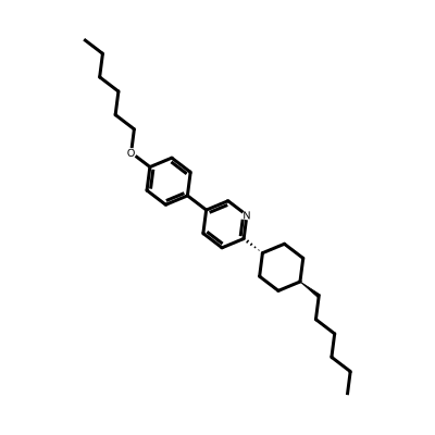 CCCCCCOc1ccc(-c2ccc([C@H]3CC[C@H](CCCCCC)CC3)nc2)cc1